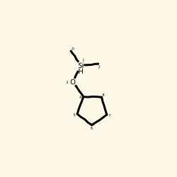 C[SiH](C)OC1C[CH]CC1